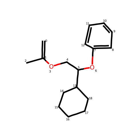 C=C(C)OCC(Oc1ccccc1)C1CCCCC1